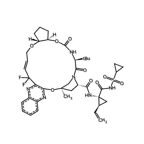 C=C[C@@H]1C[C@]1(NC(=O)[C@@H]1C[C@]2(C)CN1C(=O)[C@H](C(C)(C)C)NC(=O)O[C@@H]1CCC[C@H]1OC/C=C/C(F)(F)c1nc3ccccc3nc1O2)C(=O)NS(=O)(=O)C1CC1